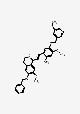 COc1cncc(COc2cc(/C=C/C3NCCc4cc(OCc5ccccc5)c(OC)cc43)c(C)cc2OC)c1